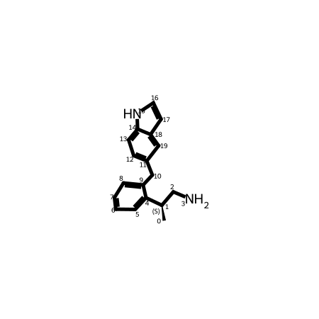 C[C@H](CN)c1ccccc1Cc1ccc2[nH]ccc2c1